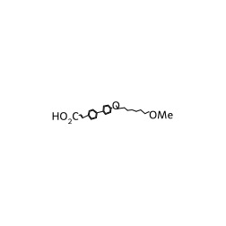 COCCCCCCCCOc1ccc(-c2ccc(C=CC(=O)O)cc2)cc1